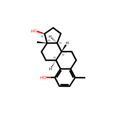 Cc1ccc(O)c2c1CC[C@@H]1[C@@H]2CC[C@]2(C)[C@@H](O)CC[C@@H]12